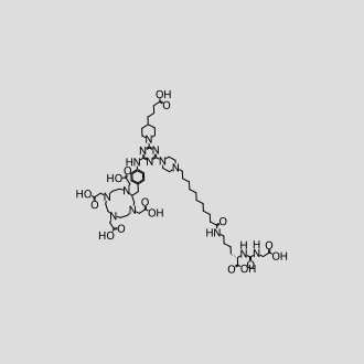 O=C(O)CCCC1CCN(c2nc(Nc3ccc(CC4CN(CC(=O)O)CCN(CC(=O)O)CCN(CC(=O)O)CCN4CC(=O)O)cc3)nc(N3CCN(CCCCCCCCCCC(=O)NCCCC[C@H](NC(=O)NCC(=O)O)C(=O)O)CC3)n2)CC1